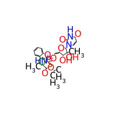 CC(C)OC(=O)C(C)NP(=S)(O/C=C1/O[C@@H](n2ccc(=O)[nH]c2=O)[C@](C)(O)[C@@H]1O)Oc1ccccc1Cl